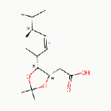 CC(C)[C@H](C)/C=C\C(C)[C@H]1OC(C)(C)O[C@H]1CC(=O)O